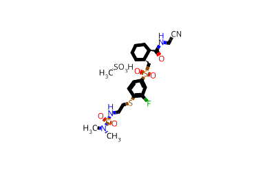 CN(C)S(=O)(=O)NCCSc1ccc(S(=O)(=O)C[C@@H]2CCCC[C@H]2C(=O)NCC#N)cc1F.CS(=O)(=O)O